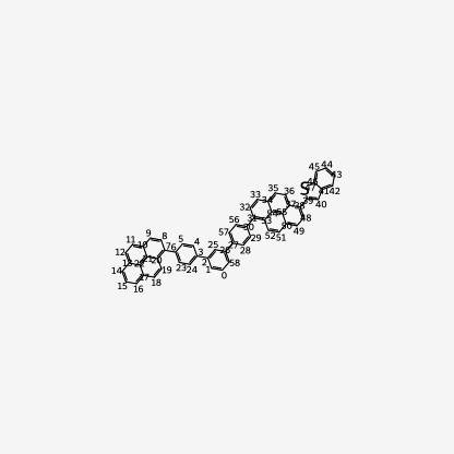 c1cc(-c2ccc(-c3ccc4ccc5cccc6ccc3c4c56)cc2)cc(-c2ccc(-c3ccc4ccc5c(-c6cc7ccccc7s6)ccc6ccc3c4c65)cc2)c1